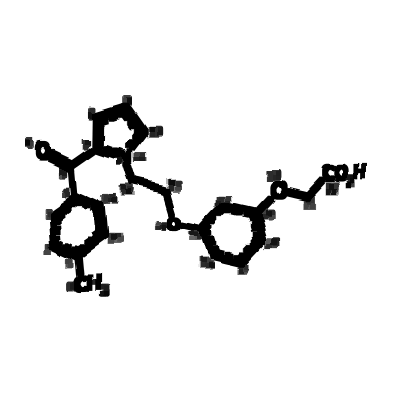 Cc1ccc(C(=O)c2cccn2CCOc2cccc(OCC(=O)O)c2)cc1